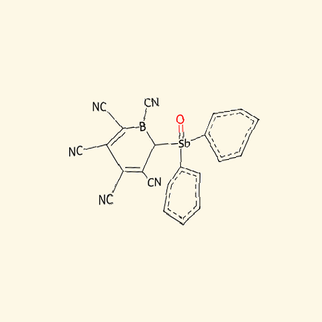 N#CB1C(C#N)=C(C#N)C(C#N)=C(C#N)[CH]1[Sb](=[O])([c]1ccccc1)[c]1ccccc1